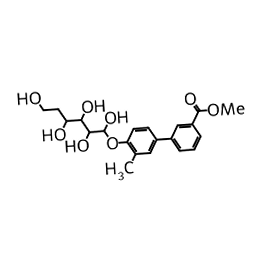 COC(=O)c1cccc(-c2ccc(OC(O)C(O)C(O)C(O)CCO)c(C)c2)c1